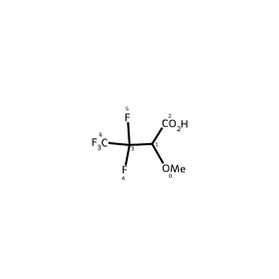 COC(C(=O)O)C(F)(F)C(F)(F)F